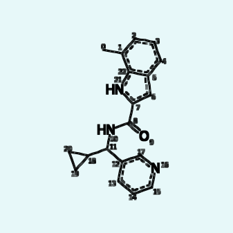 Cc1cccc2cc(C(=O)NC(c3cccnc3)C3CC3)[nH]c12